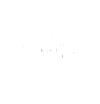 CCC(C)(C)C(=O)OP(N1C(=O)c2ccccc2C1=O)N1C(=O)c2ccccc2C1=O